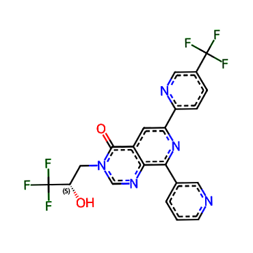 O=c1c2cc(-c3ccc(C(F)(F)F)cn3)nc(-c3cccnc3)c2ncn1C[C@H](O)C(F)(F)F